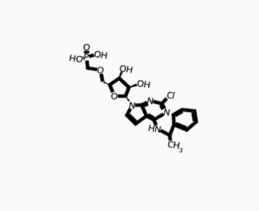 CC(Nc1nc(Cl)nc2c1ccn2[C@@H]1O[C@H](COCP(=O)(O)O)[C@@H](O)[C@H]1O)c1ccccc1